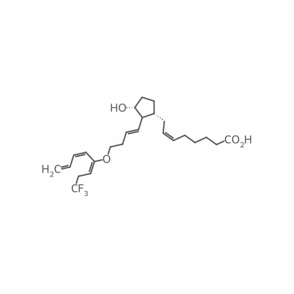 C=C/C=C\C(=C/CC(F)(F)F)OCC/C=C/C1[C@@H](C/C=C\CCCCC(=O)O)CC[C@H]1O